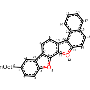 CCCCCCCCc1ccc2oc3c(ccc4c3oc3ccc5ccccc5c34)c2c1